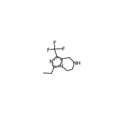 CCc1nc(C(F)(F)F)c2n1CCNC2